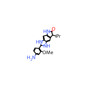 COc1cc(N)ccc1C1Nc2cc3c(cc2N1)C(C(C)C)C(=O)N3